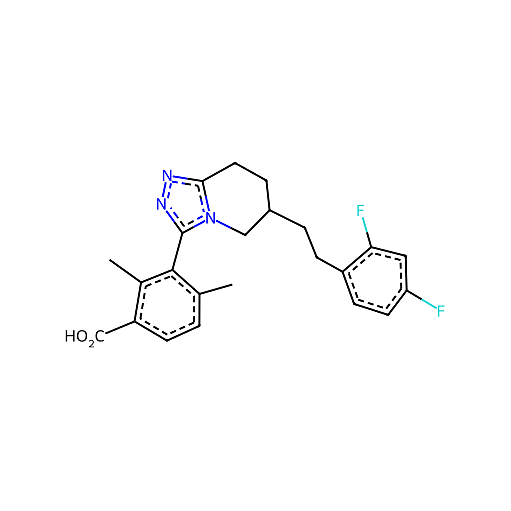 Cc1ccc(C(=O)O)c(C)c1-c1nnc2n1CC(CCc1ccc(F)cc1F)CC2